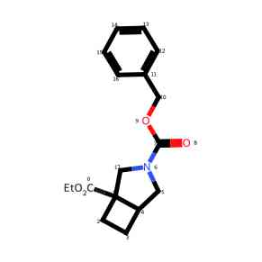 CCOC(=O)C12CCC1CN(C(=O)OCc1ccccc1)C2